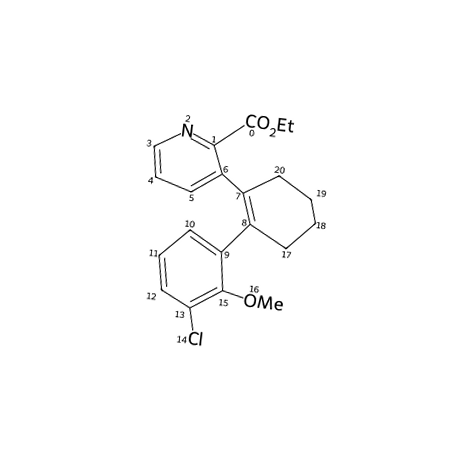 CCOC(=O)c1ncccc1C1=C(c2cccc(Cl)c2OC)CCCC1